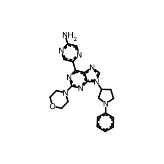 Nc1cnc(-c2nc(N3CCOCC3)nc3c2ncn3C2CCN(c3ccccc3)C2)cn1